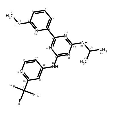 CNc1cccc(-c2nc(Nc3ccnc(C(F)(F)F)c3)nc(NC(C)C)n2)n1